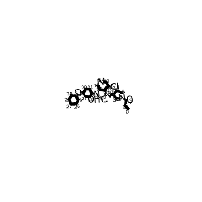 C=CC(=O)N1CCC(N(C=O)c2c(Cl)cncc2N(C)c2ccc(Oc3ccccc3)cc2)C1